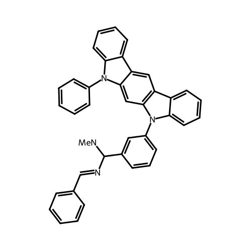 CNC(/N=C/c1ccccc1)c1cccc(-n2c3ccccc3c3cc4c5ccccc5n(-c5ccccc5)c4cc32)c1